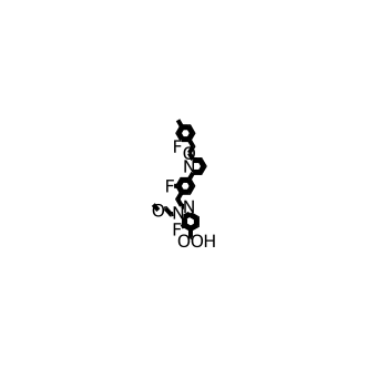 COCCn1c(Cc2ccc(-c3cccc(OCc4ccc(C)cc4F)n3)cc2F)nc2ccc(C(=O)O)c(F)c21